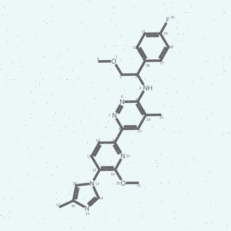 COCC(Nc1nnc(-c2ccc(-n3cnc(C)c3)c(OC)n2)cc1C)c1ccc(F)cc1